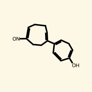 O=N/C1=C/CC/C=C(/C2=CCC=C(O)C=C2)CC1